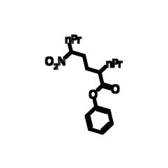 CCCC(CCC(CCC)[N+](=O)[O-])C(=O)Oc1ccccc1